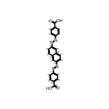 O=C(O)c1ccc(N=Nc2ccc3cc(N=Nc4ccc(C(=O)O)cc4)ccc3c2)cc1